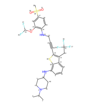 CC(C)N1CCC(Nc2cccc3c(CC(F)(F)F)c(C#CCNc4ccc(S(C)(=O)=O)cc4OC(F)F)sc23)CC1